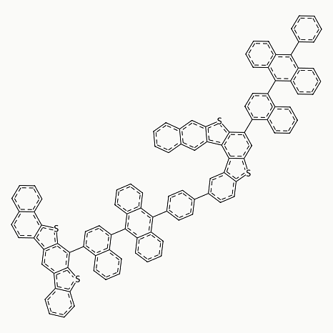 c1ccc(-c2c3ccccc3c(-c3ccc(-c4cc5sc6ccc(-c7ccc(-c8c9ccccc9c(-c9ccc(-c%10c%11sc%12ccccc%12c%11cc%11c%10sc%10c%12ccccc%12ccc%11%10)c%10ccccc9%10)c9ccccc89)cc7)cc6c5c5c4sc4cc6ccccc6cc45)c4ccccc34)c3ccccc23)cc1